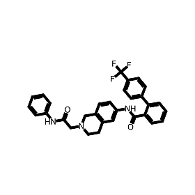 O=C(CN1CCc2cc(NC(=O)c3ccccc3-c3ccc(C(F)(F)F)cc3)ccc2C1)Nc1ccccc1